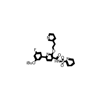 CC(C)COc1cc(F)cc(-c2ccc(C(=O)NS(=O)(=O)c3ccccn3)c(OCCc3cccnc3)n2)c1